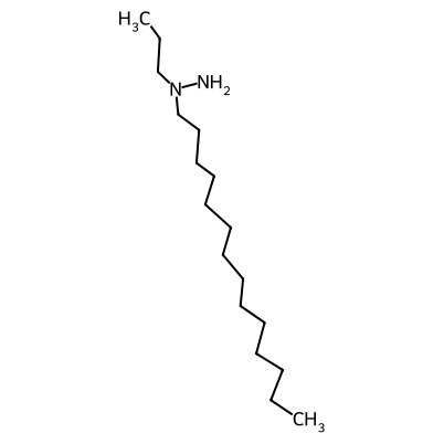 CCCCCCCCCCCCCCN(N)CCC